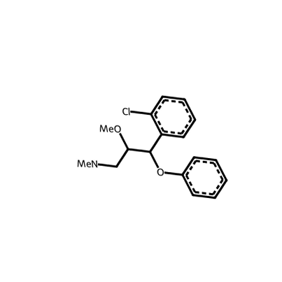 CNCC(OC)C(Oc1ccccc1)c1ccccc1Cl